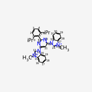 CC(C)c1cccc(C(C)C)c1-c1nc(-n2c[n+](C)c3ccccc32)cc(-n2c[n+](C)c3ccccc32)n1